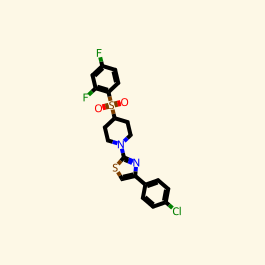 O=S(=O)(c1ccc(F)cc1F)C1CCN(c2nc(-c3ccc(Cl)cc3)cs2)CC1